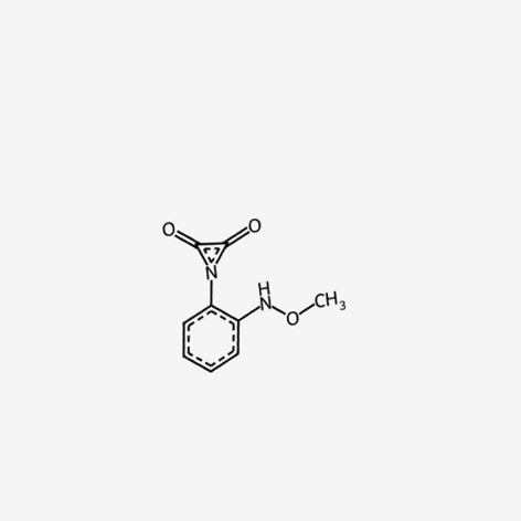 CONc1ccccc1-n1c(=O)c1=O